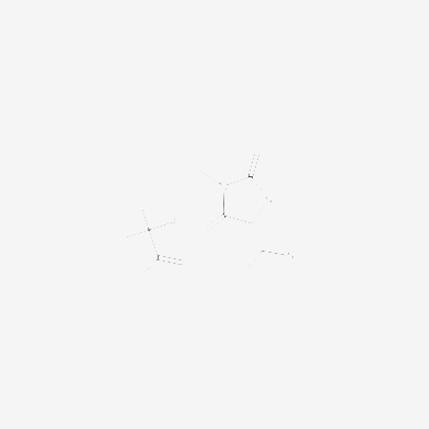 CC(N)[C@H]1NC(=O)N(C)C1=O.O=C(O)C(F)(F)F